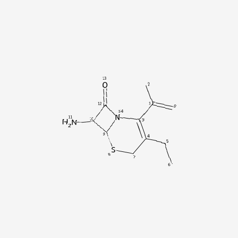 C=C(C)C1=C(CC)CSC2C(N)C(=O)N12